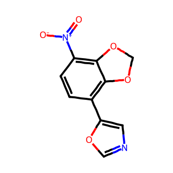 O=[N+]([O-])c1ccc(-c2cnco2)c2c1OCO2